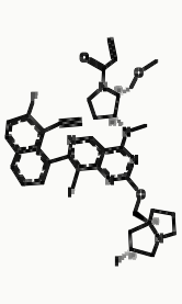 C#Cc1c(F)ccc2cccc(-c3ncc4c(N(C)[C@@H]5CCN(C(=O)C=C)[C@@H]5COC)nc(OC[C@@]56CCCN5C[C@H](F)C6)nc4c3F)c12